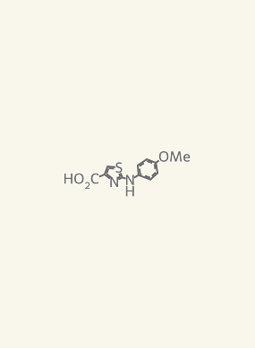 COc1ccc(Nc2nc(C(=O)O)cs2)cc1